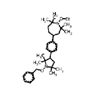 CCON1C(C)(C)CCC(c2ccc(C3CC(C)(C)N(OCc4ccccc4)C3(C)C)cc2)CC1(C)C